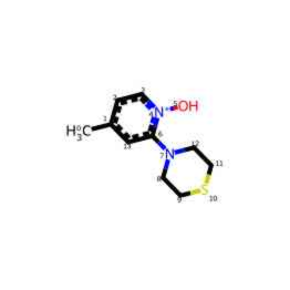 Cc1cc[n+](O)c(N2CCSCC2)c1